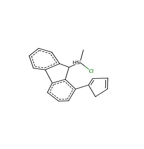 C[SiH](Cl)C1c2ccccc2-c2cccc(C3=CC=CC3)c21